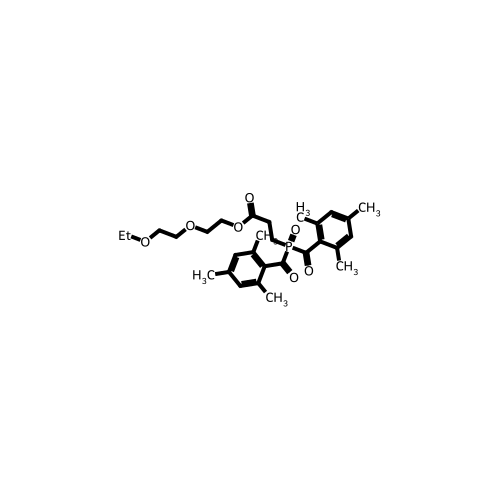 CCOCCOCCOC(=O)CCP(=O)(C(=O)c1c(C)cc(C)cc1C)C(=O)c1c(C)cc(C)cc1C